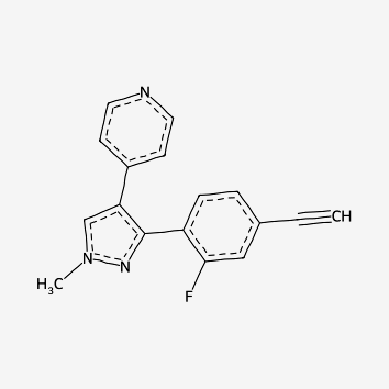 C#Cc1ccc(-c2nn(C)cc2-c2ccncc2)c(F)c1